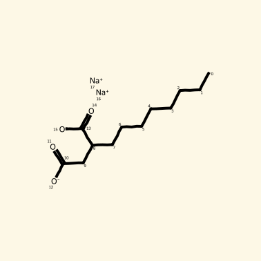 CCCCCCCCC(CC(=O)[O-])C(=O)[O-].[Na+].[Na+]